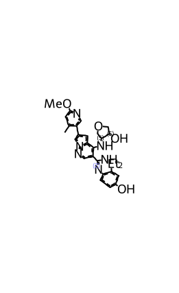 CCc1cc(O)ccc1/N=C(\N)c1cnn2cc(-c3cnc(OC)cc3C)cc2c1N[C@H]1COC[C@H]1O